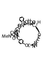 CN[C@@H](C)C(=O)N[C@H]1Cc2ccc(cc2)OCc2cn(nn2)CCCOc2ccc(cc2)C[C@@H](C(=O)O)NC(=O)[C@H](Cc2ccccc2)NC(=O)C2CCCN2C1=O